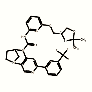 CC1(C)OC[C@H](COc2cccc(NC(=O)N3c4nc(-c5cccc(C(F)(F)F)c5)ncc4N4CCC3C4)n2)O1